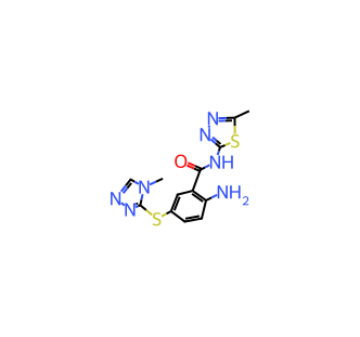 Cc1nnc(NC(=O)c2cc(Sc3nncn3C)ccc2N)s1